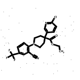 CCOC(=O)C1(c2ccc(Cl)nc2)CCN(c2ccc(C(F)(F)F)cc2C#N)CC1